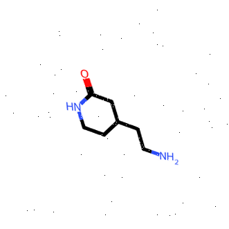 NCCC1CCNC(=O)C1